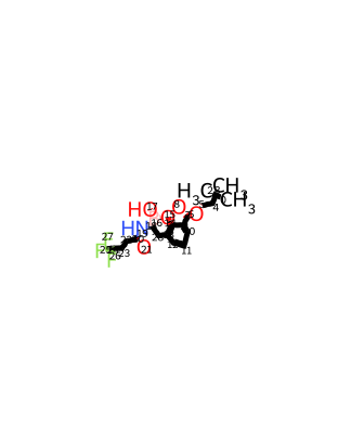 CC(C)(C)CCOC(=O)c1cccc2c1OB(O)[C@@H](NC(=O)CCC(F)(F)F)C2